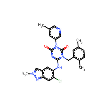 Cc1cncc(-n2c(=O)nc(Nc3cc4cn(C)nc4cc3Cl)n(Cc3cc(C)ccc3C)c2=O)c1